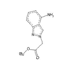 CC(C)(C)OC(=O)Cn1cc2c(N)cccc2n1